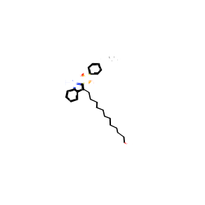 COc1ccc(S(=O)(=O)c2[nH]c3ccccc3c2CCCCCCCCCCCCO)cc1